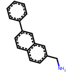 NCc1ccc2ccc(-c3ccccc3)cc2c1